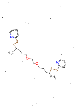 CC(CCCOCCOCCCC(C)SSc1ccccn1)SSc1ccccn1